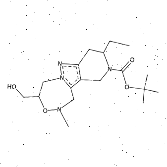 CCC1Cc2nn3c(c2CN1C(=O)OC(C)(C)C)CN(C)OC(CO)C3